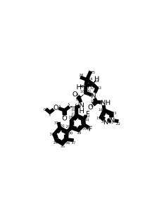 CCOC(=O)C[C@H](NC(=O)[C@@H]1[C@@H]2[C@H](CN1C(=O)Nc1cnn(C)c1)C2(C)C)c1cc(-c2c(C)cccc2C)cc(F)c1F